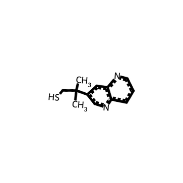 CC(C)(CS)c1cnc2cccnc2c1